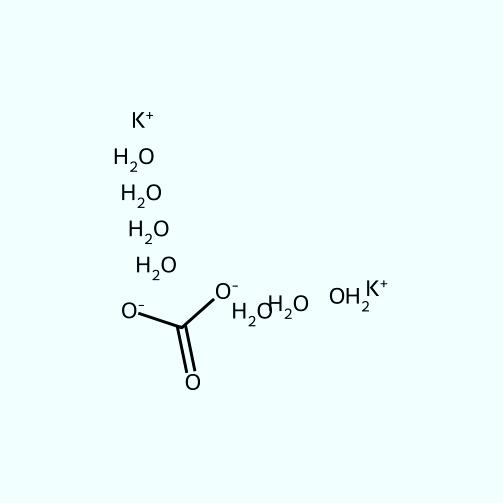 O.O.O.O.O.O.O.O=C([O-])[O-].[K+].[K+]